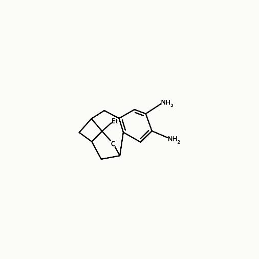 CCC12CC3CC1CC2Cc1cc(N)c(N)cc13